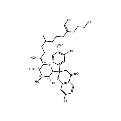 COc1ccc(C2(C3O[C@H](C(O)CCC(C)CCCC(=CO)CCCC(C)C)[C@@H](O)[C@H](O)[C@H]3O)CC(=O)c3ccc(O)cc3O2)cc1O